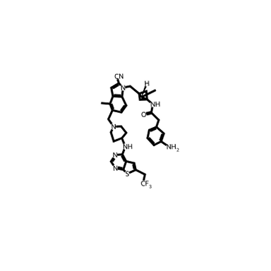 Cc1c(CN2CCC(Nc3ncnc4sc(CC(F)(F)F)cc34)CC2)ccc2c1cc(C#N)n2CC12CC(NC(=O)Cc3cccc(N)c3)(C1)[C@H]2C